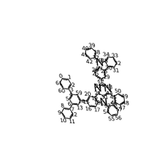 c1ccc(-c2cc(-c3ccccc3)cc(-c3ccc4c(c3)c3nc(-c5ccc6c(c5)c5ccccc5n6-c5ccccc5)nc(-c5ccccc5)c3n4-c3ccccc3)c2)cc1